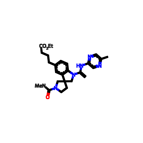 C=C(Nc1cnc(C)cn1)N1CC2(CCN(C(=O)NC)C2)c2cc(CCCC(=O)OCC)ccc21